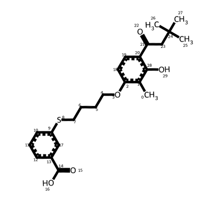 Cc1c(OCCCCSc2cccc(C(=O)O)c2)ccc(C(=O)CC(C)(C)C)c1O